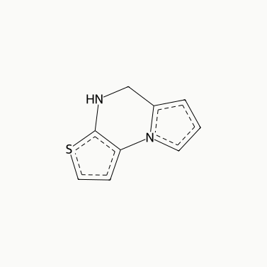 c1cc2n(c1)-c1ccsc1NC2